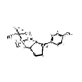 CC(C)(C)[Si](C)(C)OC1CCN(c2ccc(Cl)nn2)C1